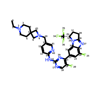 CCN1CCC2(CC1)CN(Cc1ccc(Nc3ncc(F)c(-c4cc(F)c5nc6n(c5c4)[C@H](C(F)(F)F)CC6)n3)nc1)C2